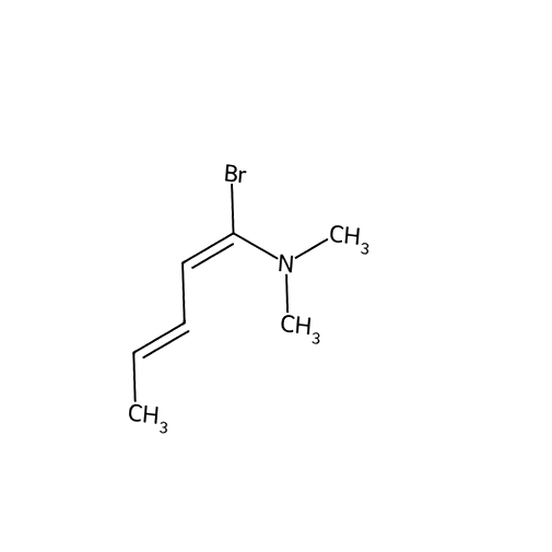 C/C=C/C=C(/Br)N(C)C